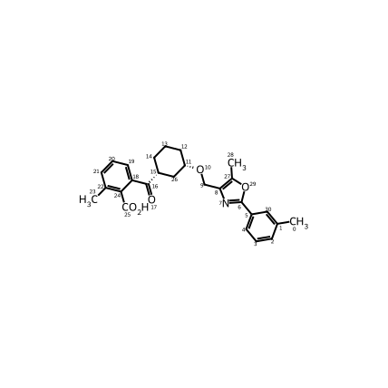 Cc1cccc(-c2nc(CO[C@H]3CCC[C@@H](C(=O)c4cccc(C)c4C(=O)O)C3)c(C)o2)c1